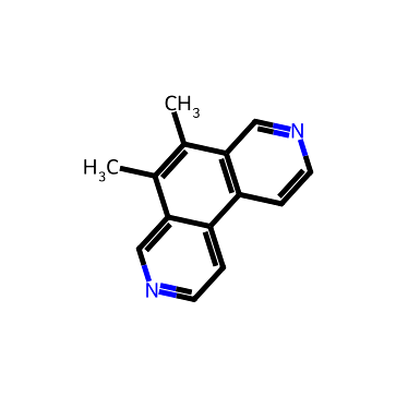 Cc1c(C)c2cnccc2c2ccncc12